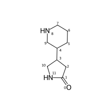 O=C1CC(C2CCCNC2)CN1